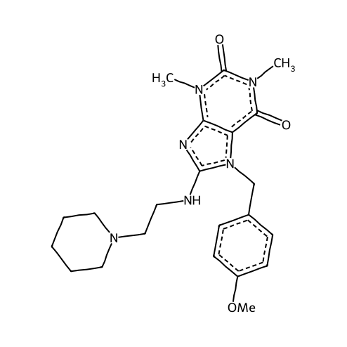 COc1ccc(Cn2c(NCCN3CCCCC3)nc3c2c(=O)n(C)c(=O)n3C)cc1